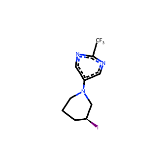 FC(F)(F)c1ncc(N2CCC[C@H](I)C2)cn1